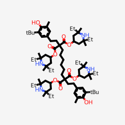 CCC1(C)CC(OC(=O)C(CCCCCCC(CCc2cc(C)c(O)c(C(C)(C)C)c2)(C(=O)OC2CC(C)(CC)NC(C)(CC)C2)C(=O)OC2CC(C)(CC)NC(C)(CC)C2)(CCc2cc(C)c(O)c(C(C)(C)C)c2)C(=O)OC2CC(C)(CC)NC(C)(CC)C2)CC(C)(CC)N1